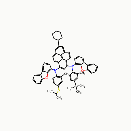 Cc1cc(SC(C)C)ccc1N(c1cc(N(c2ccc([Si](C)(C)C)cc2C)c2cccc3c2oc2ccccc23)c2ccc3cc(C4CCCCC4)cc4ccc1c2c43)c1cccc2c1oc1ccccc12